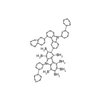 Bc1c(B)c(B)c2c(c1B)c1c(B)c(-c3ccc4c(c3)c3c(-c5ccc6ccccc6c5)cccc3n4-c3cccc(-c4ccccc4)c3)c(B)c(B)c1n2-c1cccc(-c2ccccc2)c1